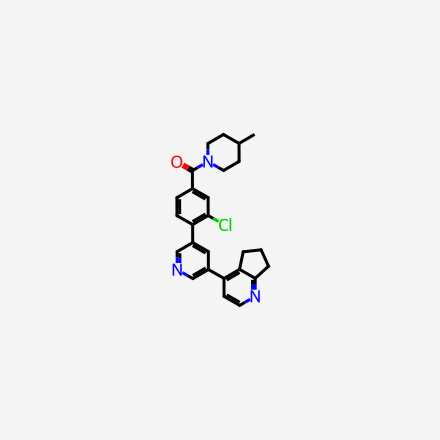 CC1CCN(C(=O)c2ccc(-c3cncc(-c4ccnc5c4CCC5)c3)c(Cl)c2)CC1